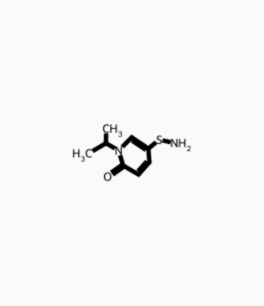 CC(C)n1cc(SN)ccc1=O